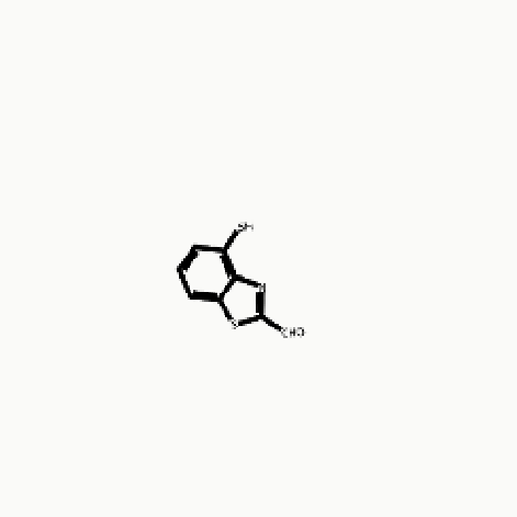 O=[C]c1nc2c(S)cccc2s1